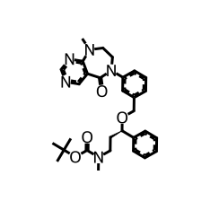 CN(CC[C@@H](OCc1cccc(N2CCN(C)c3ncncc3C2=O)c1)c1ccccc1)C(=O)OC(C)(C)C